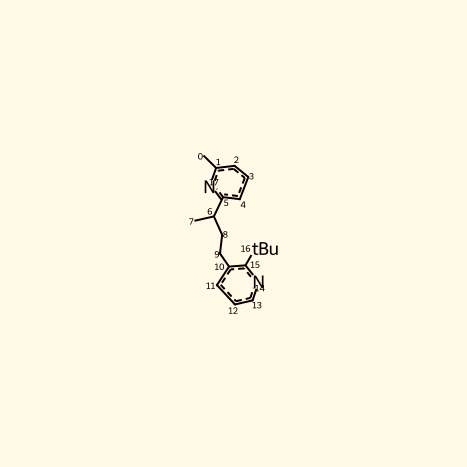 Cc1cccc(C(C)CCc2cccnc2C(C)(C)C)n1